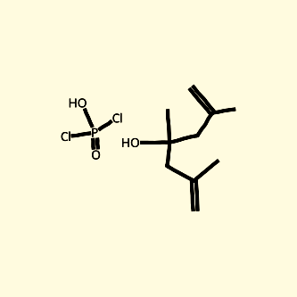 C=C(C)CC(C)(O)CC(=C)C.O=P(O)(Cl)Cl